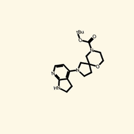 CC(C)(C)OC(=O)N1CCOC2(CCN(c3ccnc4c3CCN4)C2)C1